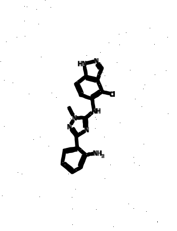 Cn1nc(-c2ccccc2N)nc1Nc1ccc2[nH]ncc2c1Cl